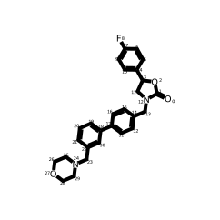 O=C1OC(c2ccc(F)cc2)CN1Cc1ccc(-c2cccc(CN3CCOCC3)c2)cc1